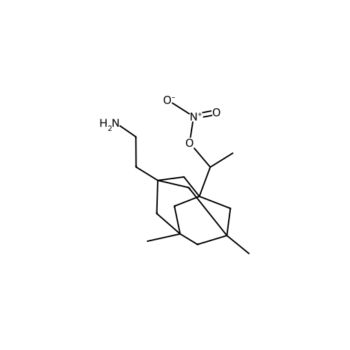 CC(O[N+](=O)[O-])C12CC3(C)CC(C)(CC(CCN)(C3)C1)C2